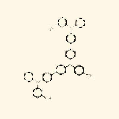 Cc1ccc(N(c2ccc(-c3ccc(N(c4ccccc4)c4cccc(C)c4)cc3)cc2)c2ccc(-c3ccc(N(c4ccccc4)c4cccc(C)c4)cc3)cc2)cc1